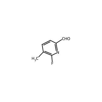 Cc1ccc(C=O)nc1F